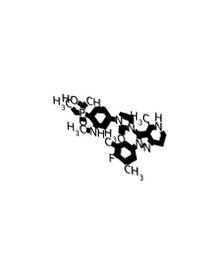 CCP(=O)(c1ccc(-n2ccn(-c3c4c(nn3-c3cc(C)c(F)c(C)c3)CCN[C@H]4C)c2=O)cc1NC)C(C)O